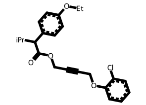 CCOc1ccc(C(C(=O)OCC#CCOc2ccccc2Cl)C(C)C)cc1